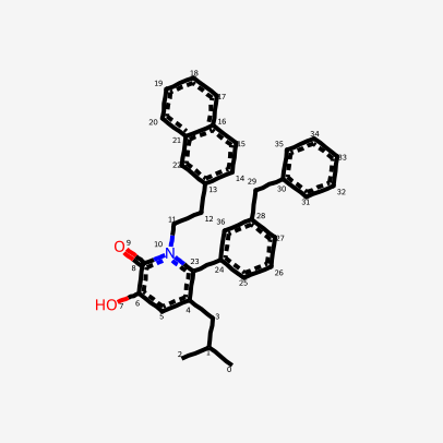 CC(C)Cc1cc(O)c(=O)n(CCc2ccc3ccccc3c2)c1-c1cccc(Cc2ccccc2)c1